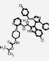 CC(C)OC(=O)NC1CCN(c2ncccc2NC(=O)c2[nH]c3cc(Cl)ccc3c2-c2c(-c3ccccc3)ncn2C(C)c2ccc(Cl)cc2)CC1